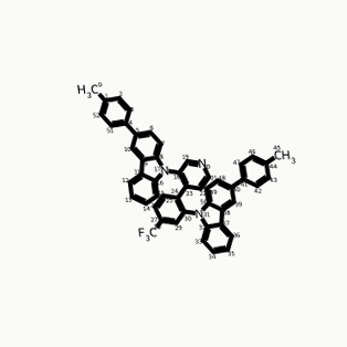 Cc1ccc(-c2ccc3c(c2)c2ccccc2n3-c2cnccc2-c2ccc(C(F)(F)F)cc2-n2c3ccccc3c3cc(-c4ccc(C)cc4)ccc32)cc1